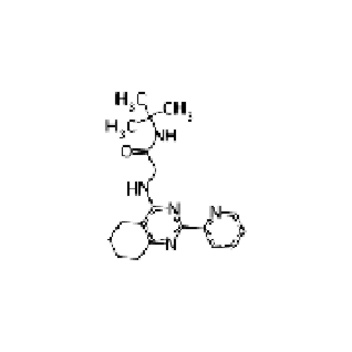 CC(C)(C)NC(=O)CNc1nc(-c2ccccn2)nc2c1CCCC2